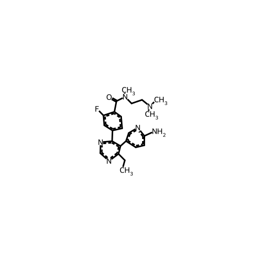 CCc1ncnc(-c2ccc(C(=O)N(C)CCN(C)C)c(F)c2)c1-c1ccc(N)nc1